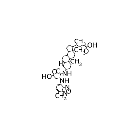 Cc1ccc(N[C@@H](CC(=O)O)C(=O)N[C@@H]2CC[C@]3(C)C4CC[C@@]5(C)C(CCC5[C@H](C)CCC(=O)O)C4CC[C@@H]3C2)c2nonc12